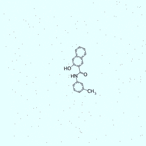 Cc1cccc(NC(=O)c2cc3ccccc3cc2O)c1